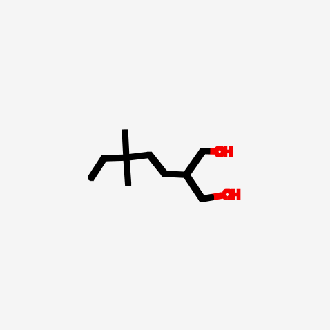 CCC(C)(C)CCC(CO)CO